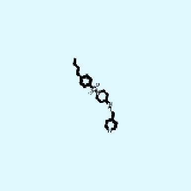 CCCCc1ccc(S(=O)(=O)N2CCC(=NOCc3ccncc3)CC2)cc1